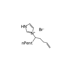 C=CCCC(CCCCC)[n+]1cc[nH]c1.[Br-]